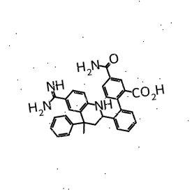 CC1(c2ccccc2)CC(c2ccccc2-c2ccc(C(N)=O)cc2C(=O)O)Nc2ccc(C(=N)N)cc21